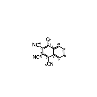 N#Cc1c(C#N)c(C#N)c2ccccc2c1[O]